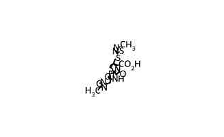 Cc1nc(CC(=O)NC2C(=O)N3C(C(=O)O)=C(CSc4nnc(C)s4)CS[C@@H]23)no1